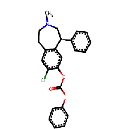 CN1CCc2cc(Cl)c(OC(=O)Oc3ccccc3)cc2[C@H](c2ccccc2)C1